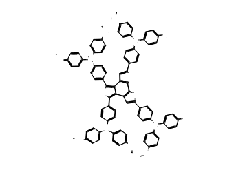 COc1ccc(N(c2ccc(OC)cc2)c2ccc(-c3cc4c(s3)c3sc(-c5ccc(N(c6ccc(OC)cc6)c6ccc(OC)cc6)cc5)cc3c3c(-c5ccc(N(c6ccc(OC)cc6)c6ccc(OC)cc6)cc5)sc(-c5ccc(N(c6ccc(OC)cc6)c6ccc(OC)cc6)cc5)c43)cc2)cc1